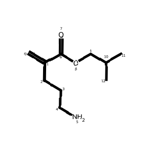 C=C(CCCN)C(=O)OCC(C)C